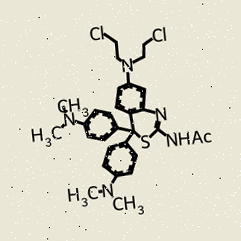 CC(=O)NC1=Nc2cc(N(CCCl)CCCl)ccc2C(c2ccc(N(C)C)cc2)(c2ccc(N(C)C)cc2)S1